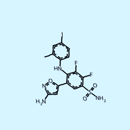 Cc1cc(I)ccc1Nc1c(-c2cc(N)no2)cc(S(N)(=O)=O)c(F)c1F